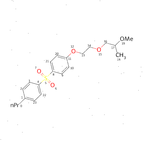 CCCc1ccc(S(=O)(=O)c2ccc(OCCOCC(C)OC)cc2)cc1